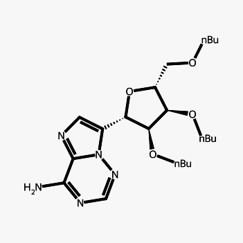 CCCCOC[C@H]1O[C@@H](c2cnc3c(N)ncnn23)[C@H](OCCCC)[C@@H]1OCCCC